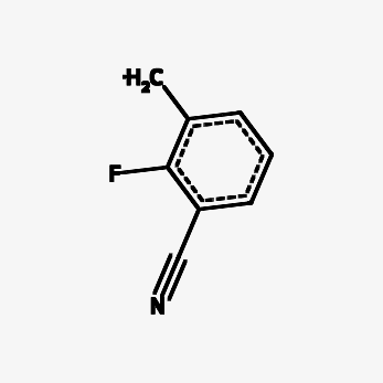 [CH2]c1cccc(C#N)c1F